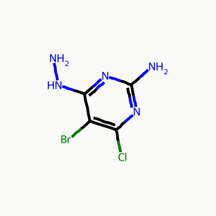 NNc1nc(N)nc(Cl)c1Br